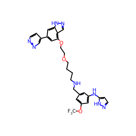 FC(F)(F)Oc1cc(CNCCCCOCCOc2cc(-c3ccnnc3)cc3[nH]ncc23)cc(Nc2ccn[nH]2)c1